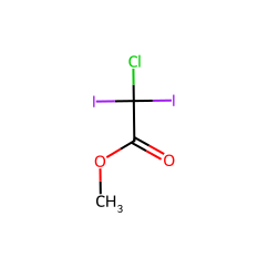 COC(=O)C(Cl)(I)I